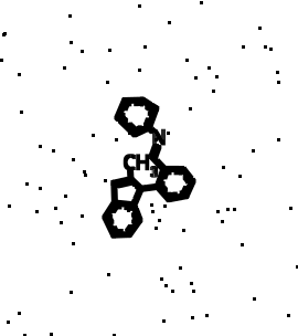 CC1=Cc2ccccc2C1c1ccccc1C=Nc1ccccc1